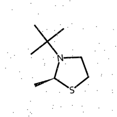 C[C@@H]1SCCN1C(C)(C)C